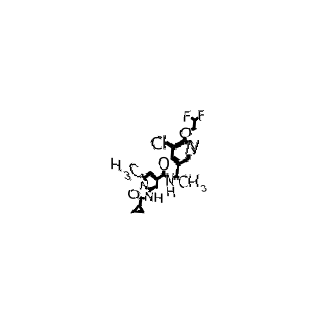 Cc1cc(C(=O)NC(C)c2cnc(OCC(F)F)c(Cl)c2)cc(NC(=O)C2CC2)n1